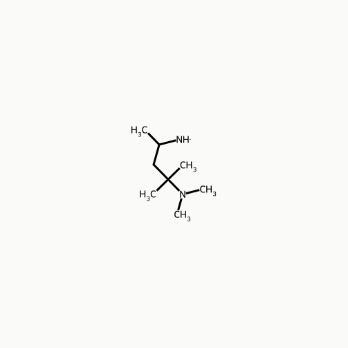 CC([NH])CC(C)(C)N(C)C